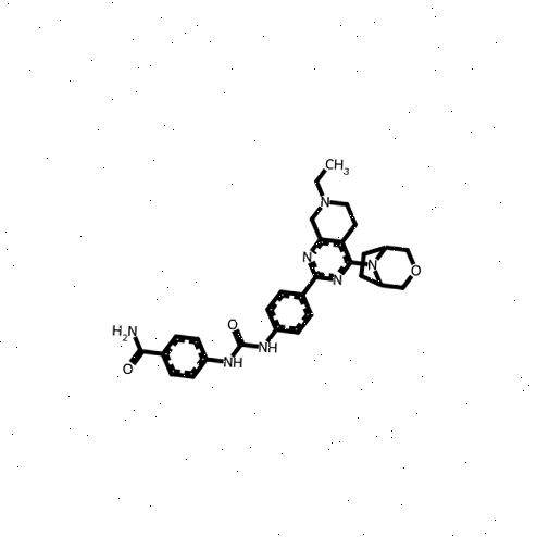 CCN1CCc2c(nc(-c3ccc(NC(=O)Nc4ccc(C(N)=O)cc4)cc3)nc2N2C3CCC2COC3)C1